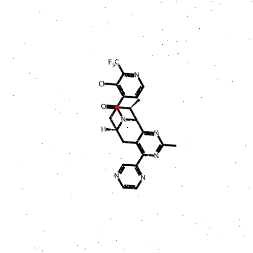 Cc1nc(-c2cnccn2)c2c(n1)C1[C@H](C)CC[C@@H](C2)N1C(=O)c1ccnc(C(F)(F)F)c1Cl